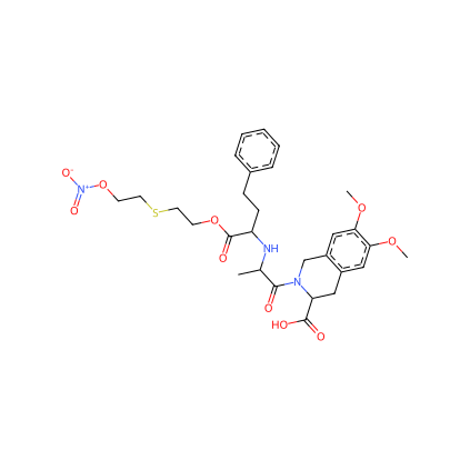 COc1cc2c(cc1OC)CN(C(=O)C(C)NC(CCc1ccccc1)C(=O)OCCSCCO[N+](=O)[O-])C(C(=O)O)C2